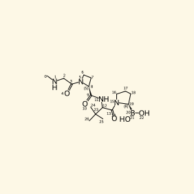 CNCC(=O)N1CC[C@H]1C(=O)NC(C(=O)N1CCC[C@H]1B(O)O)C(C)(C)C